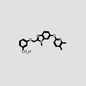 Cc1ccc(Oc2ccc3nc(COc4cccc(C(=O)O)c4)n(C)c3c2)nc1C